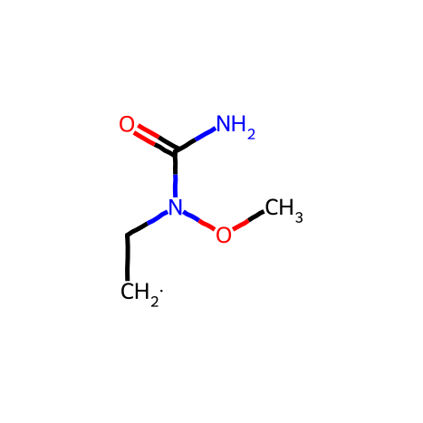 [CH2]CN(OC)C(N)=O